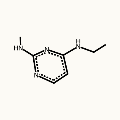 CCNc1ccnc(NC)n1